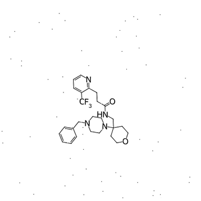 O=C(CCc1ncccc1C(F)(F)F)NCC1(N2CCN(Cc3ccccc3)CC2)CCOCC1